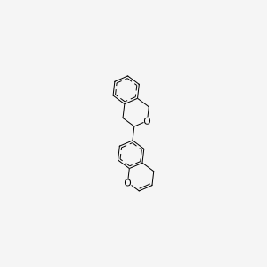 C1=COc2ccc(C3Cc4ccccc4CO3)cc2C1